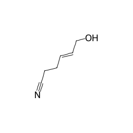 N#CCC/C=C/CO